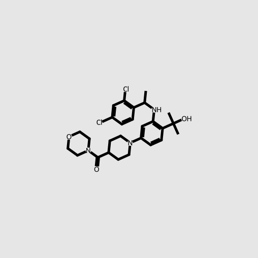 CC(Nc1cc(N2CCC(C(=O)N3CCOCC3)CC2)ccc1C(C)(C)O)c1ccc(Cl)cc1Cl